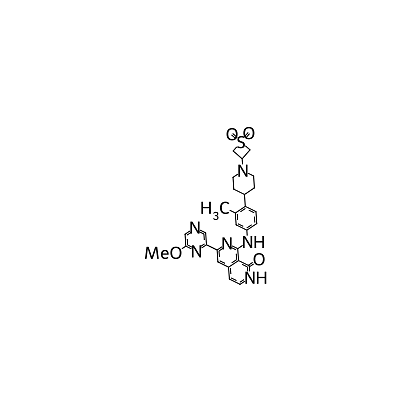 COc1cncc(-c2cc3cc[nH]c(=O)c3c(Nc3ccc(C4CCN(C5CS(=O)(=O)C5)CC4)c(C)c3)n2)n1